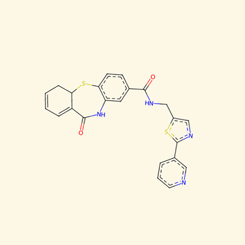 O=C1Nc2cc(C(=O)NCc3cnc(-c4cccnc4)s3)ccc2SC2CC=CC=C12